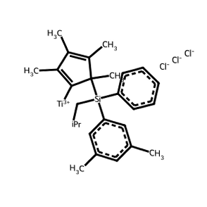 CC1=C(C)C(C)([Si](CC(C)C)(c2ccccc2)c2cc(C)cc(C)c2)[C]([Ti+3])=C1C.[Cl-].[Cl-].[Cl-]